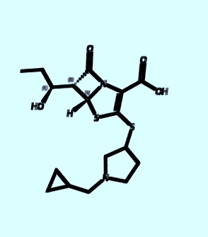 CC[C@H](O)[C@@H]1C(=O)N2C(C(=O)O)=C(SC3CCN(CC4CC4)C3)S[C@H]12